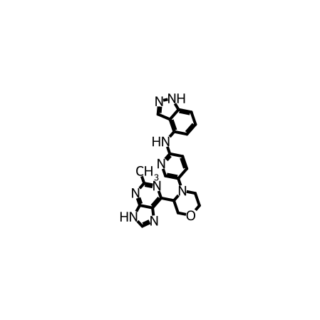 Cc1nc(C2COCCN2c2ccc(Nc3cccc4[nH]ncc34)nc2)c2nc[nH]c2n1